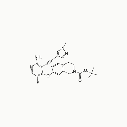 Cn1cc(C#Cc2c(N)ncc(F)c2Oc2ccc3c(c2)CN(C(=O)OC(C)(C)C)CC3)cn1